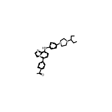 CCC(CC)N1CCN(c2ccc(Nc3ccc(-c4ccc(C(C)=O)cc4)n4ccnc34)cc2)CC1